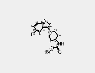 CC(C)(C)OC(=O)NC1CCN(c2snc3ccc(F)cc23)CC1